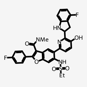 CCS(=O)(=O)Nc1cc2oc(-c3ccc(F)cc3)c(C(=O)NC)c2cc1-c1ccc(O)c(C2Cc3c(F)cccc3N2)n1